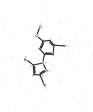 CCOc1cc(F)cc(-n2nc(Br)cc2Br)c1